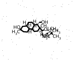 CC(C)(C)[Si](C)(C)O[C@@H](CO)[C@@]1(C)CC[C@H]2[C@@H](CC[C@@H]3C[C@](C)(O)CC[C@@H]32)[C@@H]1CO